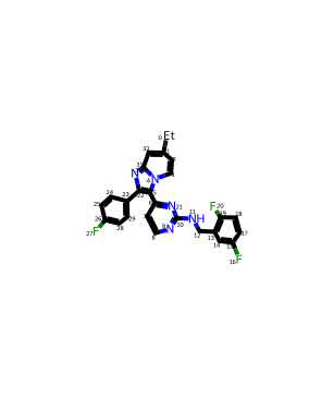 CCc1ccn2c(-c3ccnc(NCc4cc(F)ccc4F)n3)c(-c3ccc(F)cc3)nc2c1